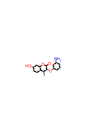 Cc1c(Oc2cccc(N)c2)c(=O)oc2cc(O)ccc12